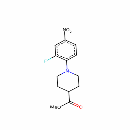 COC(=O)C1CCN(c2ccc([N+](=O)[O-])cc2F)CC1